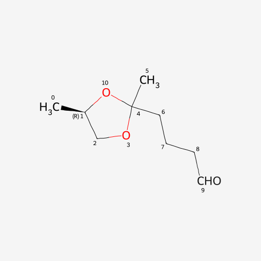 C[C@@H]1COC(C)(CCCC=O)O1